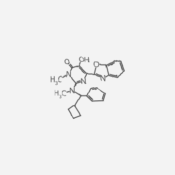 CN(c1nc(-c2nc3ccccc3o2)c(O)c(=O)n1C)C(c1ccccc1)C1CCC1